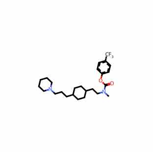 CN(CCC1CCC(CCCN2CCCCC2)CC1)C(=O)Oc1ccc(C(F)(F)F)cc1